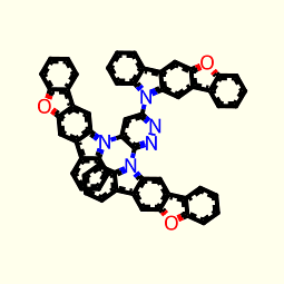 c1ccc2c(c1)oc1cc3c4ccccc4n(-c4cc(-n5c6ccccc6c6cc7oc8ccccc8c7cc65)c(-n5c6ccccc6c6cc7oc8ccccc8c7cc65)nn4)c3cc12